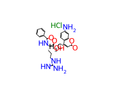 Cc1cc(=O)oc2cc(N)ccc12.Cl.N=C(N)NCCC[C@H](NC(=O)c1ccccc1)C(=O)O